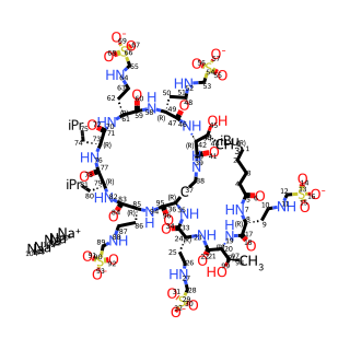 CC[C@@H](C)CCCCC(=O)N[C@H](CCNCS(=O)(=O)[O-])C(=O)N[C@@H](C(=O)N[C@H](CCNCS(=O)(=O)[O-])C(=O)N[C@@H]1CCNC(=O)[C@@H]([C@@H](C)O)NC(=O)[C@@H](CCNCS(=O)(=O)[O-])NC(=O)[C@@H](CCNCS(=O)(=O)[O-])NC(=O)[C@@H](CC(C)C)NC(=O)[C@@H](CC(C)C)NC(=O)[C@@H](CCNCS(=O)(=O)[O-])NC1=O)[C@@H](C)O.[Na+].[Na+].[Na+].[Na+].[Na+]